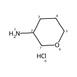 Cl.NC1CCCOC1